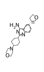 Nc1nc(C2CCC(N3CCOCC3)CC2)nc2ccc([C@@H]3CCOC3)cc12